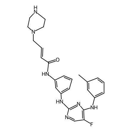 Cc1cccc(Nc2nc(Nc3cccc(NC(=O)/C=C/CN4CCNCC4)c3)ncc2F)c1